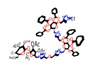 CCn1cc(COC2O[C@H](Cn3cc(COC4O[C@H](Cn5cc(COCc6cn(CC7O[C@@](C)(O[C@H]8O[C@H](COC(C)=O)[C@H](Cl)[C@H](OC(C)=O)[C@H]8OC(C)=O)[C@@H](OC(C)=O)[C@@H]7OC(C)=O)nn6)nn5)[C@@H](OC(=O)c5ccccc5)[C@H](OC(=O)c5ccccc5)[C@@H]4OC(=O)c4ccccc4)nn3)[C@@H](OC(=O)c3ccccc3)[C@H](OC(=O)c3ccccc3)[C@@H]2OC(=O)c2ccccc2)nn1